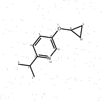 CC(C)c1ccc(OC2CC2)cn1